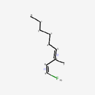 CCCCC/C=C(C)\C=C/F